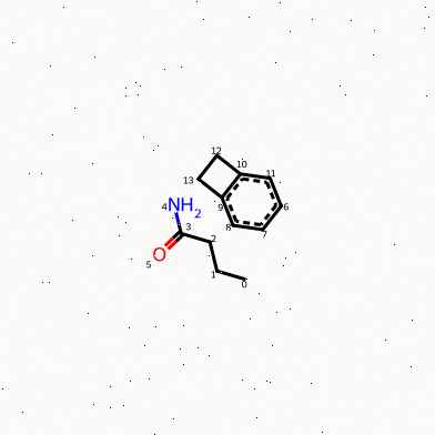 CCCC(N)=O.c1ccc2c(c1)CC2